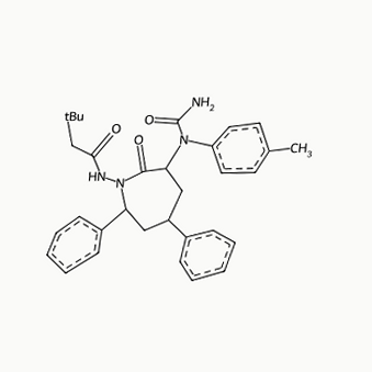 Cc1ccc(N(C(N)=O)C2CC(c3ccccc3)CC(c3ccccc3)N(NC(=O)CC(C)(C)C)C2=O)cc1